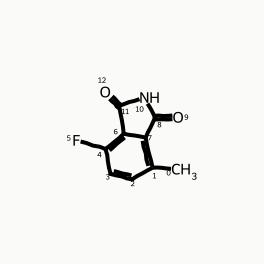 Cc1ccc(F)c2c1C(=O)NC2=O